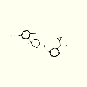 COc1ccc(F)c([C@]2(OC)CC[C@H](COc3cccc([C@@H](CC(=O)O)C4CC4)c3)CC2)c1